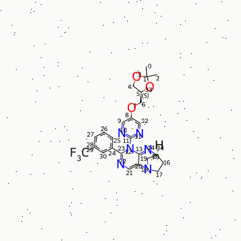 CC1(C)OC[C@H](COc2cnc(N3C4=N[C@H]5CCN(C5)C4=CN=C3c3cccc(C(F)(F)F)c3)nc2)O1